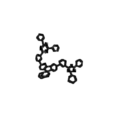 c1ccc(-c2nc(-c3ccccc3)nc(-c3cccc(-c4ccc5c(c4)-c4cc(-c6cccc(-c7nc(-c8ccccc8)nc(-c8ccccc8)n7)c6)ccc4C54C5CC6CC(C5)CC4C6)c3)n2)cc1